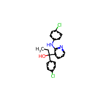 CCC(O)(c1ccc(Cl)cc1)c1cccnc1Nc1ccc(Cl)cc1